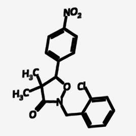 CC1(C)C(=O)N(Cc2ccccc2Cl)OC1c1ccc([N+](=O)[O-])cc1